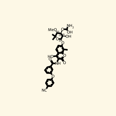 CO[C@@H]1[C@@H](OC(N)O)[C@@H](O)[C@H](Oc2ccc3c(O)c(NC(=O)c4cccc(Oc5ccc(C#N)cc5)c4)c(=O)oc3c2C)OC1(C)C